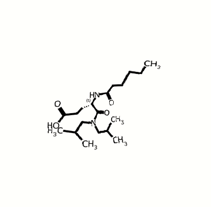 CCCCCC(=O)N[C@@H](CCC(=O)O)C(=O)N(CC(C)C)CC(C)C